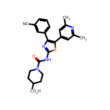 Cc1cc(-c2sc(NC(=O)N3CCC(C(=O)O)CC3)nc2-c2cccc(C#N)c2)cc(C)n1